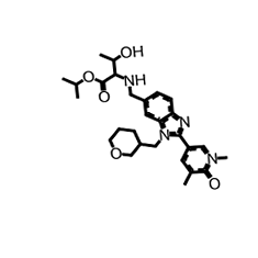 Cc1cc(-c2nc3ccc(CNC(C(=O)OC(C)C)C(C)O)cc3n2CC2CCCOC2)cn(C)c1=O